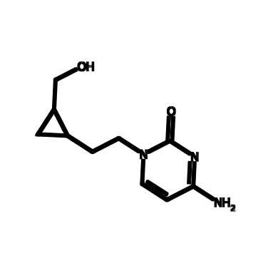 Nc1ccn(CCC2CC2CO)c(=O)n1